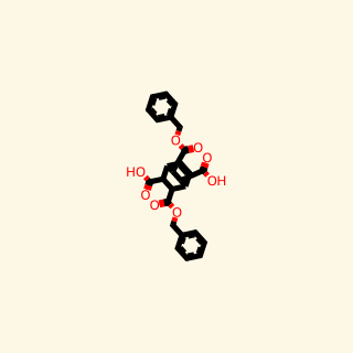 O=C(O)C1C2C=CC(C(C(=O)O)C2C(=O)OCc2ccccc2)C1C(=O)OCc1ccccc1